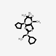 CCN(c1ncc2c(n1)N(C1CCCC1)CC(C)(C)C(=O)N2C)C1CCCCC1